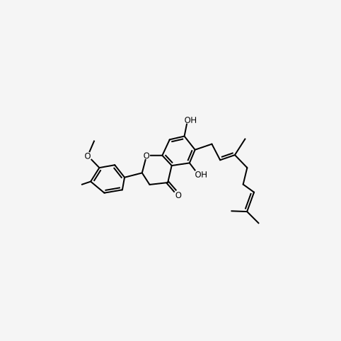 COc1cc(C2CC(=O)c3c(cc(O)c(C/C=C(\C)CCC=C(C)C)c3O)O2)ccc1C